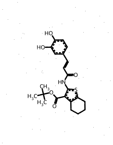 CC(C)(C)OC(=O)c1c(NC(=O)C=Cc2ccc(O)c(O)c2)sc2c1CCCC2